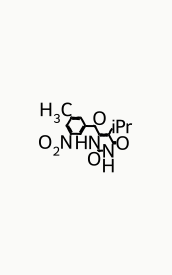 Cc1cc(C(=O)c2[nH]c(=O)[nH]c(=O)c2C(C)C)cc([N+](=O)[O-])c1